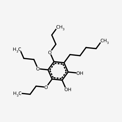 CCCCCc1c(O)c(O)c(OCCC)c(OCCC)c1OCCC